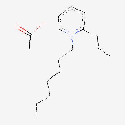 CC(=O)[O-].CCCCCCC[n+]1ccccc1CCC